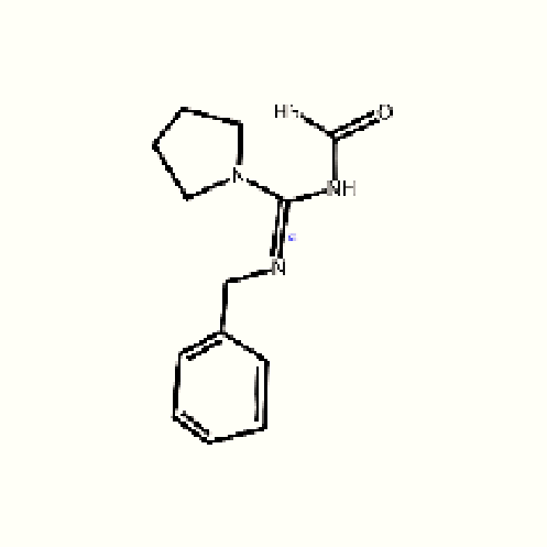 O=C(S)N/C(=N/Cc1ccccc1)N1CCCC1